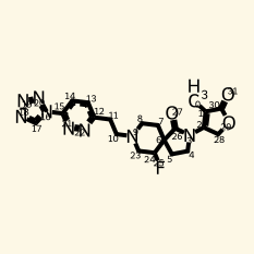 CC1=C(N2CCC3(CCN(CCc4ccc(-n5cnnn5)nn4)CC3F)C2=O)COC1=O